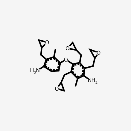 Cc1c(Oc2c(CC3CO3)c(C)c(N)c(CC3CO3)c2CC2CO2)ccc(N)c1CC1CO1